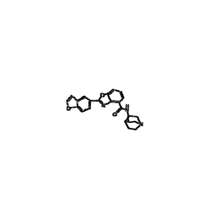 O=C(NC1CN2CCC1CC2)c1cccc2oc(-c3ccc4occc4c3)nc12